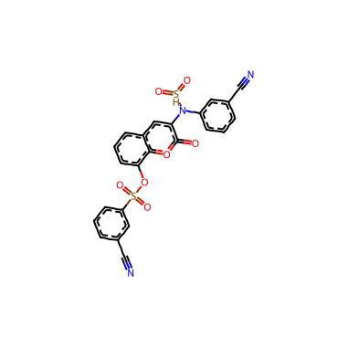 N#Cc1cccc(N(c2cc3cccc(OS(=O)(=O)c4cccc(C#N)c4)c3oc2=O)[SH](=O)=O)c1